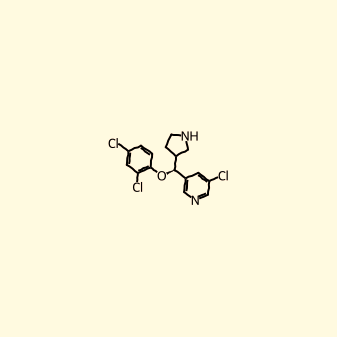 Clc1cncc([C@@H](Oc2ccc(Cl)cc2Cl)C2CCNC2)c1